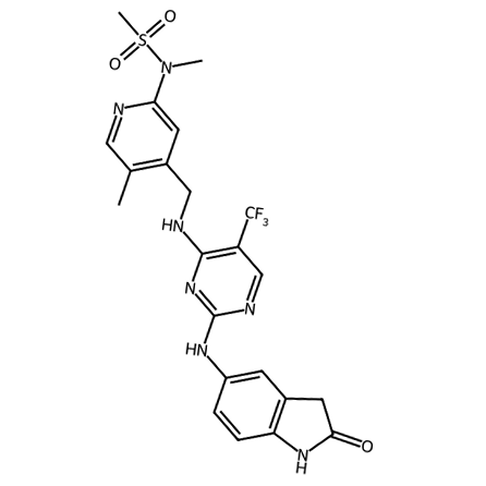 Cc1cnc(N(C)S(C)(=O)=O)cc1CNc1nc(Nc2ccc3c(c2)CC(=O)N3)ncc1C(F)(F)F